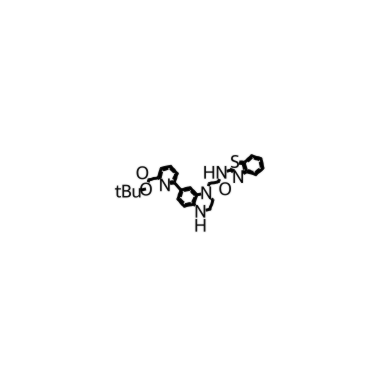 CC(C)(C)OC(=O)c1cccc(-c2ccc3c(c2)N(CC(=O)Nc2nc4ccccc4s2)CCN3)n1